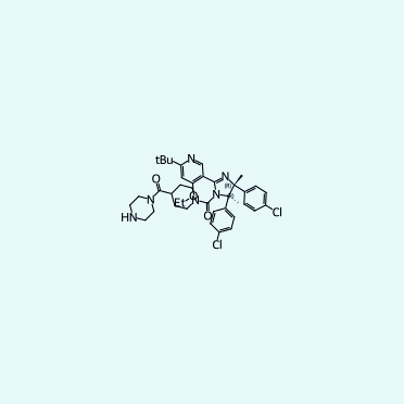 CCOc1cc(C(C)(C)C)ncc1C1=N[C@](C)(c2ccc(Cl)cc2)[C@@](C)(c2ccc(Cl)cc2)N1C(=O)N1CCC(C(=O)N2CCNCC2)CC1